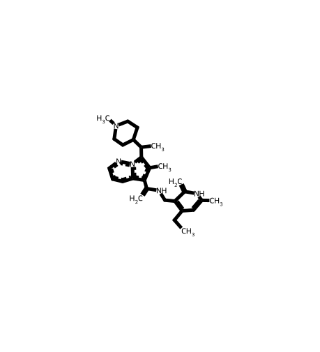 C=C1NC(C)=CC(CC)=C1CNC(=C)c1c(C)c(C(C)C2CCN(C)CC2)n2ncccc12